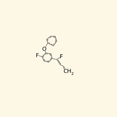 C=CC=C(F)c1ccc(F)c(Oc2ccccc2)c1